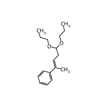 CCCOC(CC=C(C)c1ccccc1)OCCC